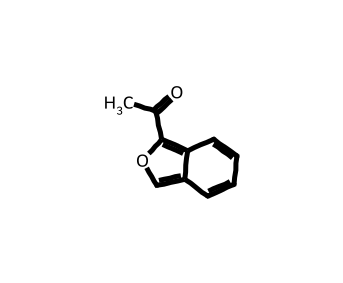 CC(=O)c1occ2ccccc12